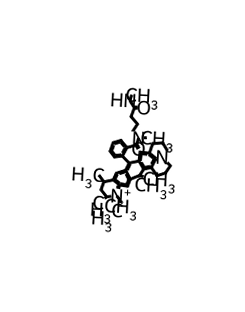 CC[N+]1=c2cc3c(cc2C(C)CC1(C)C)=C(c1ccccc1C(=O)N(C)CCCC(=O)NC)c1cc2c4c(c1C3(C)C)CCCN4CCC2